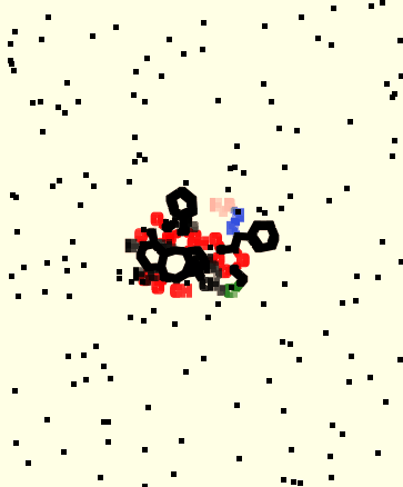 BN=N[C@@H](c1ccccc1)[C@@H](OC(=O)CCl)C(=O)O[C@H]1C[C@@]2(O)[C@@H](OC(=O)c3ccccc3)[C@@H]3[C@]4(OC(C)=O)CO[C@@H]4C[C@H](O)[C@@]3(C)C(=O)[C@H](O)C(=C1C)C2(C)C